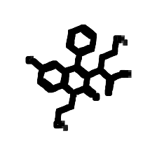 CCCC(C(=O)O)c1c(-c2ccccc2)c2cc(Cl)ccc2n(CCC)c1=O